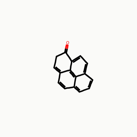 O=C1CC=c2ccc3cccc4ccc1c2c43